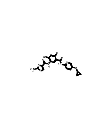 Nc1ncc(C(=O)Nc2cc(C(=O)Nc3ccc(OC4CC4)cn3)c(F)cc2Br)s1